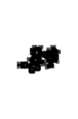 C=CC(C)(C)S(=O)(=O)C1(COc2ccnc3cc(C(=O)O)c(=O)n(C)c23)CC1